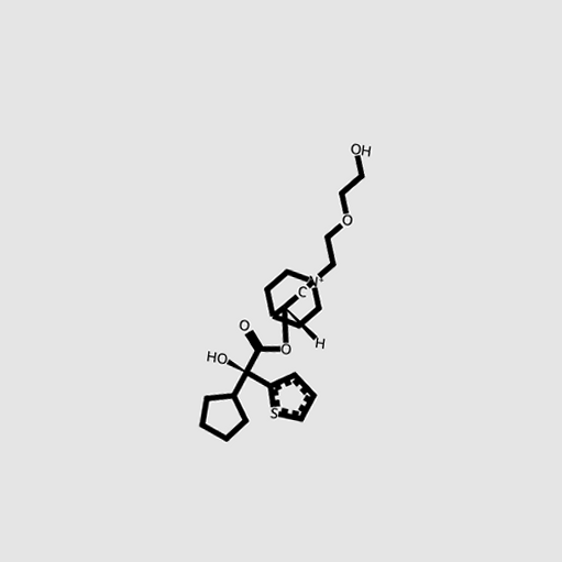 O=C(O[C@H]1C[N+]2(CCOCCO)CCC1CC2)[C@](O)(c1cccs1)C1CCCC1